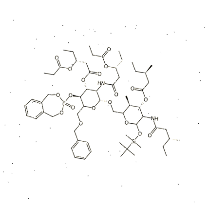 CCC(=O)O[C@H](CC)CC(=O)NC1[C@H](OCC2OC(O[Si](C)(C)C(C)(C)C)C(NC(=O)C[C@H](C)CC)[C@@H](OC(=O)C[C@H](C)CC)[C@@H]2C)OC(COCc2ccccc2)[C@@H](OP2(=O)OCc3ccccc3CO2)[C@@H]1OC(=O)C[C@@H](CC)OC(=O)CC